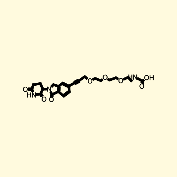 O=C(O)NCCOCCOCCOCC#Cc1ccc2c(c1)CN(C1CCC(=O)NC1=O)C2=O